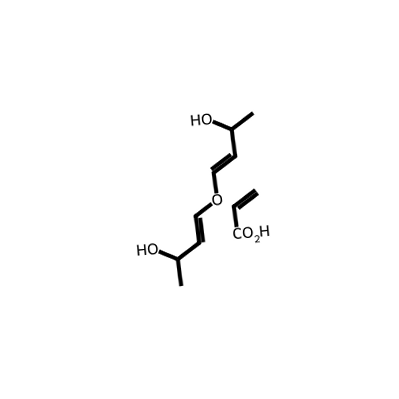 C=CC(=O)O.CC(O)/C=C/O/C=C/C(C)O